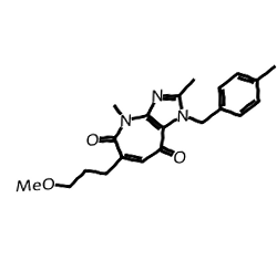 COCCCc1cc(=O)c2c(nc(C)n2Cc2ccc(C)cc2)n(C)c1=O